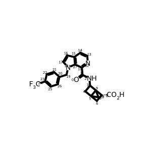 O=C(NC1CC23C[C@@H](C(=O)O)C12C3)c1nccc2ccn(Cc3ccc(C(F)(F)F)cc3)c12